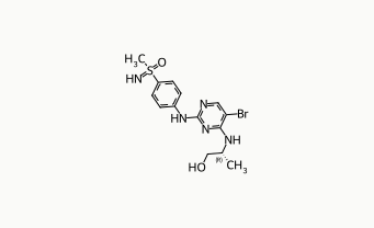 C[C@H](CO)Nc1nc(Nc2ccc(S(C)(=N)=O)cc2)ncc1Br